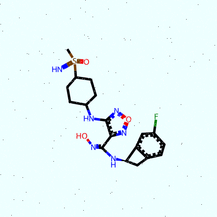 CS(=N)(=O)C1CCC(Nc2nonc2/C(=N\O)N[C@@H]2Cc3ccc(F)cc32)CC1